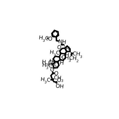 C=C(C)[C@@H]1CC[C@]2(CC(=O)NCc3ccccc3OC)CC[C@]3(C)[C@H](CC[C@@H]4[C@@]5(C)CC[C@H](OC(=O)CC(C)(C)CC(=O)O)C(C)(C)[C@@H]5CC[C@]43C)[C@@H]12